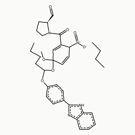 CCCC.CCCCC(Oc1ccc(-c2nc3ccccc3[nH]2)cc1)OC1(OC)C=CC([N+](=O)[O-])C(C(=O)N2CCC[C@H]2C=O)=C1